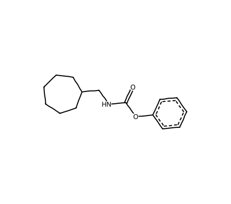 O=C(NCC1CCCCCC1)Oc1ccccc1